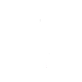 O=S1(=O)CC2(CCCO2)C1